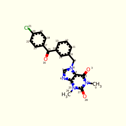 Cn1c(=O)c2c(ncn2Cc2cccc(C(=O)c3ccc(Cl)cc3)c2)n(C)c1=O